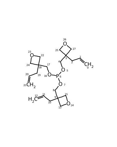 C=CCC1(COP(OCC2(CC=C)COC2)OCC2(CC=C)COC2)COC1